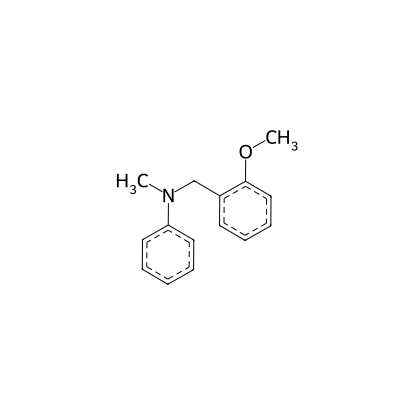 COc1ccccc1CN(C)c1ccccc1